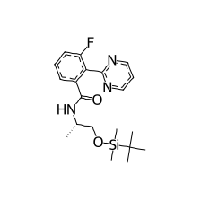 C[C@@H](CO[Si](C)(C)C(C)(C)C)NC(=O)c1cccc(F)c1-c1ncccn1